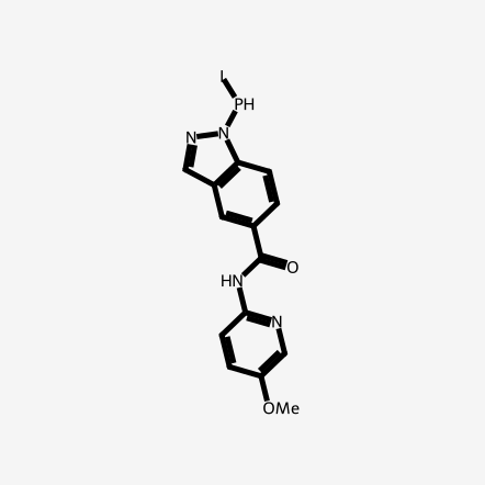 COc1ccc(NC(=O)c2ccc3c(cnn3PI)c2)nc1